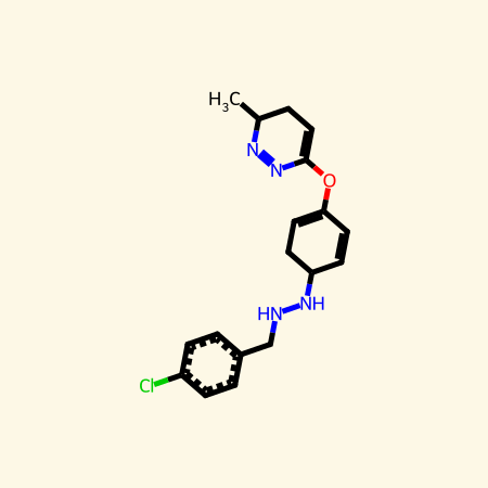 CC1CC=C(OC2=CCC(NNCc3ccc(Cl)cc3)C=C2)N=N1